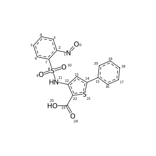 O=Nc1ccccc1S(=O)(=O)Nc1cc(-c2ccccc2)sc1C(=O)O